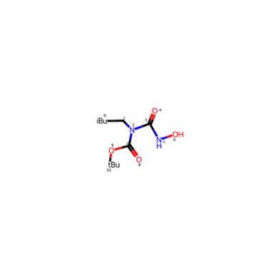 CCC(C)CN(C(=O)NO)C(=O)OC(C)(C)C